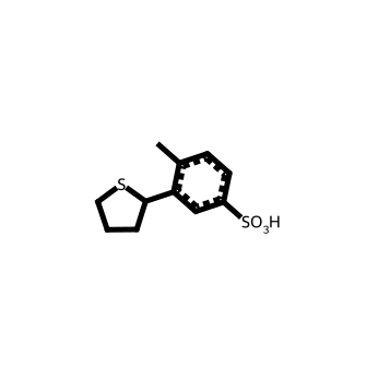 Cc1ccc(S(=O)(=O)O)cc1C1CCCS1